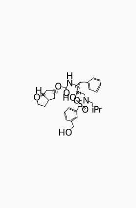 CC(C)CN(C[C@@H](O)[C@H](Cc1ccccc1)NC(=O)O[C@@H]1CC2CCO[C@@H]2C1)S(=O)(=O)c1cccc(CO)c1